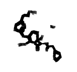 O=C(O)CCc1csc(SC2=C(C(=O)[O-])N3C(=O)[C@@H](NC(=O)Cc4cccs4)[C@@H]3SC2)n1.[Na+]